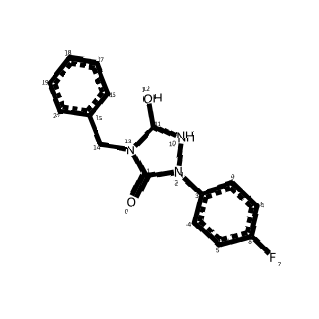 O=C1N(c2ccc(F)cc2)NC(O)N1Cc1ccccc1